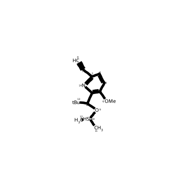 C#Cc1ccc(OC)c(C(O[SiH](C)C)C(C)(C)C)n1